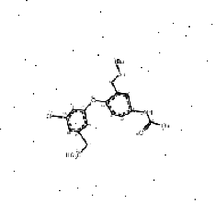 CC(C)(C)SCc1cc(NC(=O)C(C)(C)C)ccc1Oc1cc(Cl)cc(CC(=O)O)c1